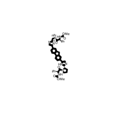 CCCN(Cc1ncc(-c2ccc3c(c2)Cc2cc(-c4cnc([C@@H]5CCCN5C(=O)[C@@H](NC(=O)OC)C(C)C)[nH]4)ccc2-3)[nH]1)C(=O)[C@@H](NC(=O)OC)C(C)C